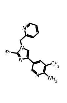 CC(C)c1nc(-c2cnc(N)c(C(F)(F)F)c2)cn1Cc1ccccn1